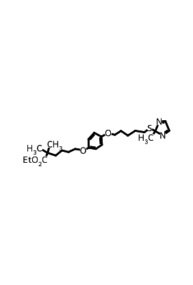 CCOC(=O)C(C)(C)CCCCOc1ccc(OCCCCCSC2(C)N=CC=N2)cc1